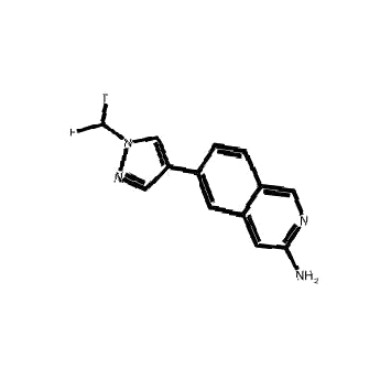 Nc1cc2cc(-c3cnn(C(F)F)c3)ccc2cn1